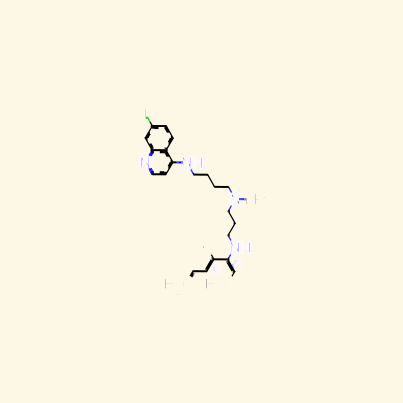 C=C/C=C(C)/C(=C\C)NCCCN(CCC)CCCCNc1ccnc2cc(Cl)ccc12